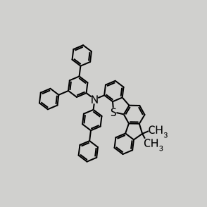 CC1(C)c2ccccc2-c2c1ccc1c2sc2c(N(c3ccc(-c4ccccc4)cc3)c3cc(-c4ccccc4)cc(-c4ccccc4)c3)cccc21